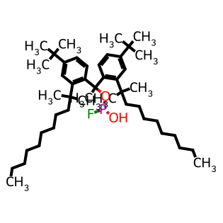 CCCCCCCCCC(C)(C)c1cc(C(C)(C)C)ccc1C(C)(OP(O)F)c1ccc(C(C)(C)C)cc1C(C)(C)CCCCCCCCC